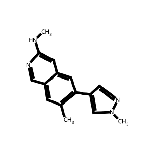 CNc1cc2cc(-c3cnn(C)c3)c(C)cc2cn1